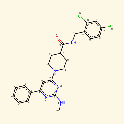 CNc1nc(-c2ccccc2)cc(N2CCC(C(=O)NCc3ccc(Cl)cc3Cl)CC2)n1